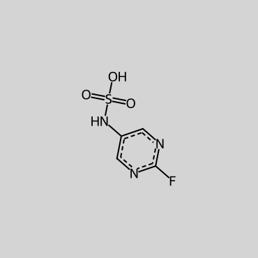 O=S(=O)(O)Nc1cnc(F)nc1